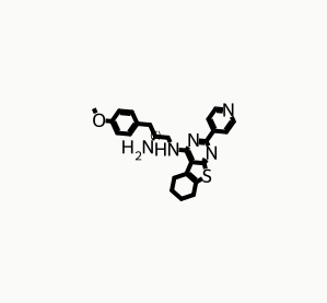 COc1ccc(C[C@H](N)CNc2nc(-c3ccncc3)nc3sc4c(c23)CCCC4)cc1